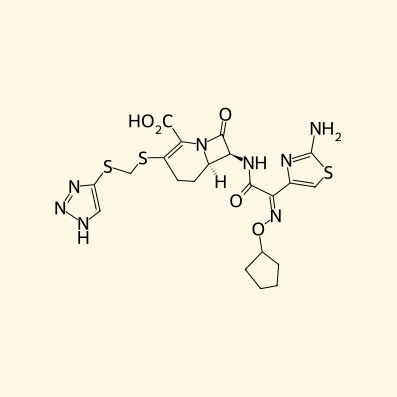 Nc1nc(/C(=N/OC2CCCC2)C(=O)N[C@@H]2C(=O)N3C(C(=O)O)=C(SCSc4c[nH]nn4)CC[C@H]23)cs1